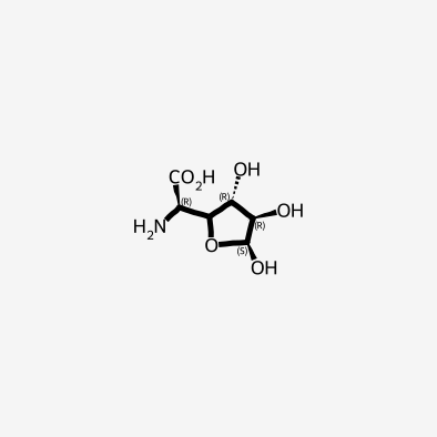 N[C@@H](C(=O)O)C1O[C@H](O)[C@H](O)[C@H]1O